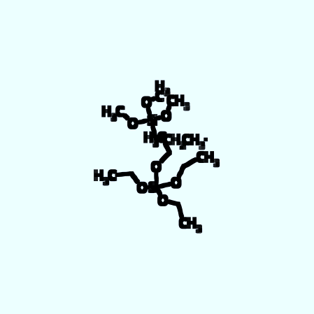 C=C[Si](OC)(OC)OC.CCO[Si](OCC)(OCC)OCC.[CH3]